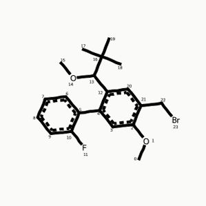 COc1cc(-c2ccccc2F)c(C(OC)C(C)(C)C)cc1CBr